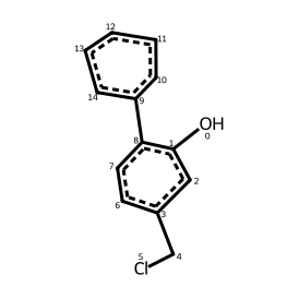 Oc1cc(CCl)ccc1-c1ccccc1